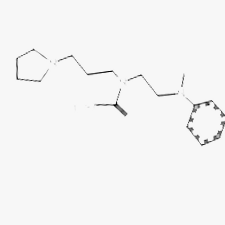 CCCCC(=O)N(CCCN1CCCC1)CCN(CC)c1ccccc1.Cl